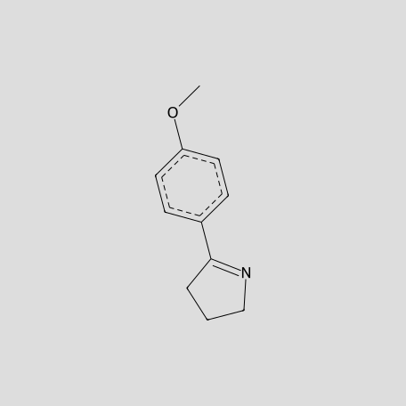 COc1ccc(C2=NCCC2)cc1